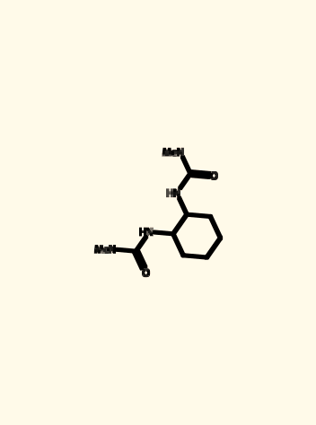 CNC(=O)NC1CCCCC1NC(=O)NC